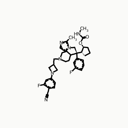 CNC(=O)O[C@H]1CCC[C@@H]1[C@](Cn1ccnc1C)(c1cccc(F)c1)C1CCN(CC2CN(c3ccc(C#N)c(F)c3)C2)CC1